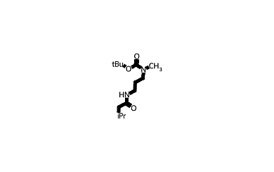 CC(C)CC(=O)NCCCN(C)C(=O)OC(C)(C)C